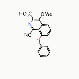 COc1c(C(=O)O)nc(C#N)c2c(Oc3ccccc3)cccc12